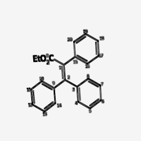 CCOC(=O)C(=C(c1ccccc1)c1ccccc1)c1ccccc1